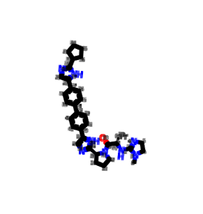 CC(C)[C@H](NC1=NCCN1C)C(=O)N1CCC[C@H]1c1ncc(-c2ccc(-c3ccc(-c4cnc(C5CCCC5)[nH]4)cc3)cc2)[nH]1